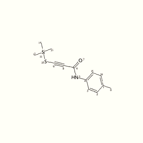 Cc1ccc(NC(=O)C#CS[Si](C)(C)C)cc1